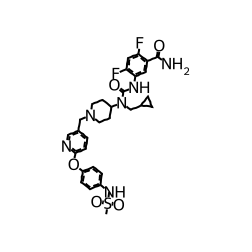 CS(=O)(=O)Nc1ccc(Oc2ccc(CN3CCC(N(CC4CC4)C(=O)Nc4cc(C(N)=O)c(F)cc4F)CC3)cn2)cc1